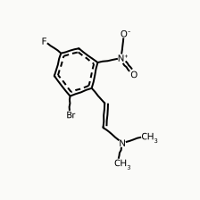 CN(C)C=Cc1c(Br)cc(F)cc1[N+](=O)[O-]